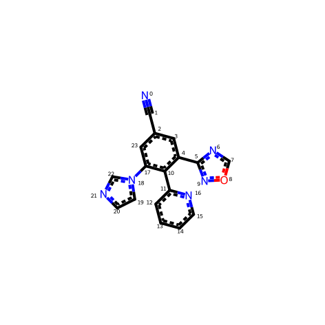 N#Cc1cc(-c2ncon2)c(-c2ccccn2)c(-n2ccnc2)c1